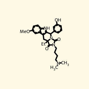 CCC12Cc3c([nH]c4ccc(OC)cc34)C(c3cccc(O)c3)N1C(=O)N(CCCCN(C)C)C2=O